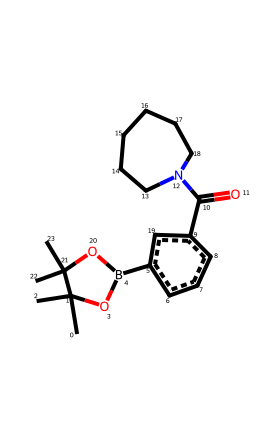 CC1(C)OB(c2cccc(C(=O)N3CCCCCC3)c2)OC1(C)C